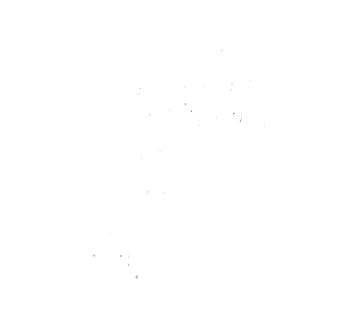 c1ccc(-c2cc(-c3ccc4c(c3)sc3ccc(-c5ccc6c7ccccc7n(-c7ccccc7)c6c5)cc34)cc(N(c3cccc(N(c4ccccc4)c4ccccc4)c3)c3ccc4sc5ccccc5c4c3)c2)cc1